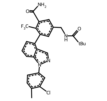 Cc1ccc(-n2ncc3c(-c4cc(CNC(=O)C(C)(C)C)cc(C(N)=O)c4C(F)(F)F)cccc32)cc1Cl